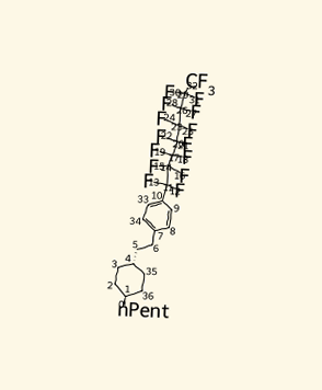 CCCCC[C@H]1CC[C@H](CCc2ccc(C(F)(F)C(F)(F)C(F)(F)C(F)(F)C(F)(F)C(F)(F)C(F)(F)C(F)(F)F)cc2)CC1